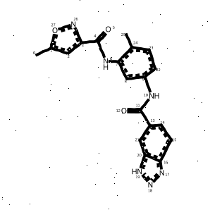 Cc1cc(C(=O)Nc2cc(NC(=O)c3ccc4nn[nH]c4c3)ccc2C)no1